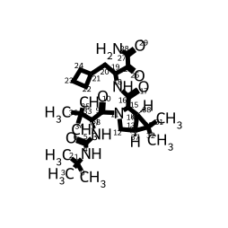 CC(C)(C)NC(=O)N[C@H](C(=O)N1C[C@H]2[C@@H](C1C(=O)NC(CC1CCC1)C(=O)C(N)=O)C2(C)C)C(C)(C)C